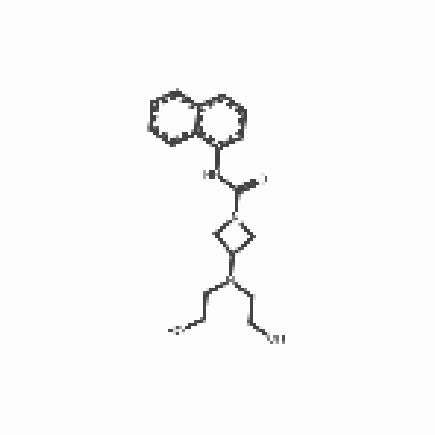 O=C(Nc1cccc2ccccc12)N1CC(N(CCO)CCO)C1